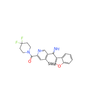 CSc1cc(C(=O)N2CCC(F)(F)CC2)ncc1C(=N)c1coc2ccccc12